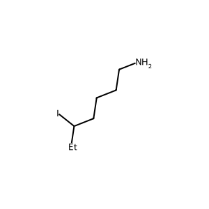 CCC(I)CCCCN